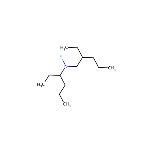 CCCC(CC)CN(F)C(CC)CCC